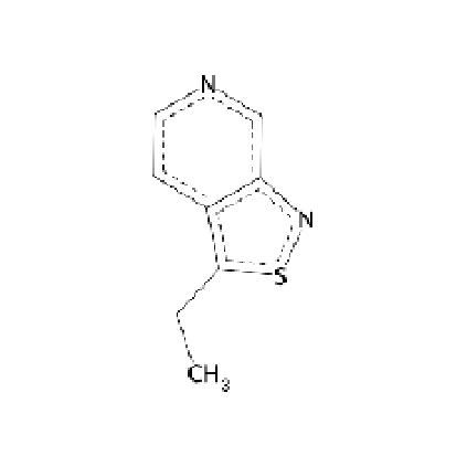 CCc1snc2cnccc12